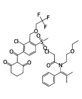 CCOCCN(C(=O)CCl)C(=C(C)C)c1ccccc1.CS(=O)(=O)c1ccc(C(=O)C2C(=O)CCCC2=O)c(Cl)c1COCC(F)(F)F